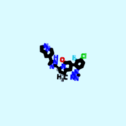 C[C@H]1C[C@@H](c2ncc(-c3ccn4nccc4c3)[nH]2)n2c1cc(-c1c(-n3cnnn3)ccc(Cl)c1F)cc2=O